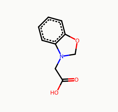 O=C(O)CN1COc2ccccc21